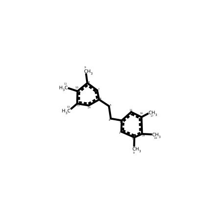 Cc1cc(CCc2cc(C)c(C)c(C)c2)cc(C)c1C